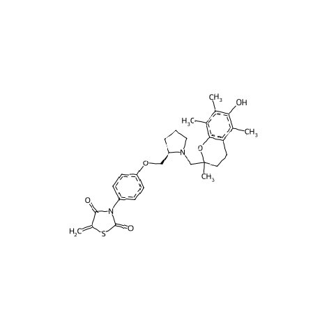 C=C1SC(=O)N(c2ccc(OC[C@H]3CCCN3CC3(C)CCc4c(C)c(O)c(C)c(C)c4O3)cc2)C1=O